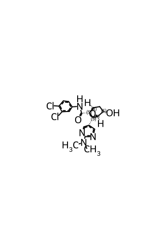 CN(C)c1ncc([C@H]2[C@H]3O[C@H](C[C@@H]3O)[C@H]2C(=O)Nc2ccc(Cl)c(Cl)c2)cn1